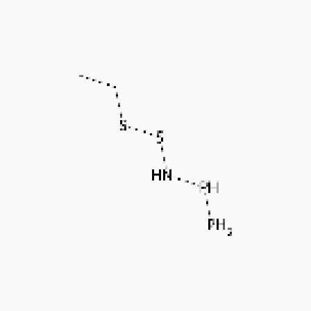 CCSSNPP